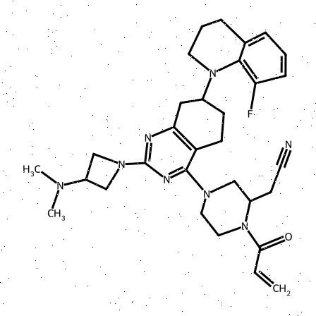 C=CC(=O)N1CCN(c2nc(N3CC(N(C)C)C3)nc3c2CCC(N2CCCc4cccc(F)c42)C3)CC1CC#N